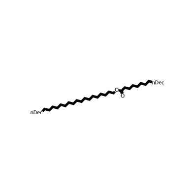 CCCCCCCCCCCCCCCCCCCCCCCCCCCCOC(=O)CCCCCCCCCCCCCCCCC